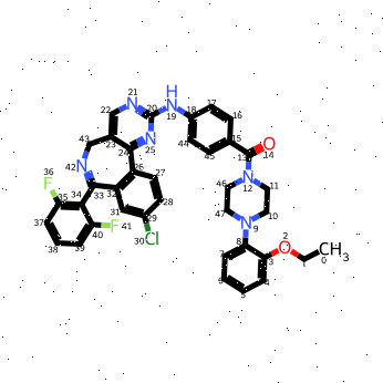 CCOc1ccccc1N1CCN(C(=O)c2ccc(Nc3ncc4c(n3)-c3ccc(Cl)cc3C(c3c(F)cccc3F)=NC4)cc2)CC1